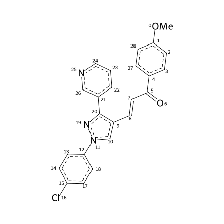 COc1ccc(C(=O)C=Cc2cn(-c3ccc(Cl)cc3)nc2-c2cccnc2)cc1